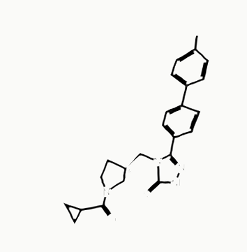 O=C(C1CC1)N1CC[C@@H](Cn2c(-c3ccc(-c4ccc(F)cc4)cc3)n[nH]c2=S)C1